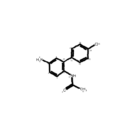 CC(=O)Nc1ccc(N)cc1-c1ccc(Cl)cc1